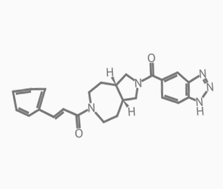 O=C(/C=C/c1ccccc1)N1CC[C@@H]2CN(C(=O)c3ccc4[nH]nnc4c3)C[C@@H]2CC1